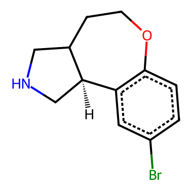 Brc1ccc2c(c1)[C@H]1CNCC1CCO2